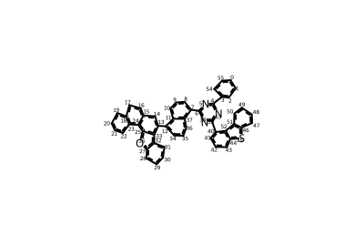 c1ccc(-c2nc(-c3cccc4c(-c5cc6ccc7ccccc7c6c6oc7ccccc7c56)cccc34)nc(-c3cccc4sc5ccccc5c34)n2)cc1